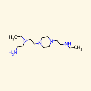 CCNCCN1CCN(CCN(CC)CCN)CC1